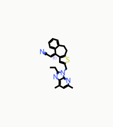 CCc1nc2c(C)cc(C)nc2n1Cc1cc2c(s1)CCc1ccccc1/C2=C\C#N